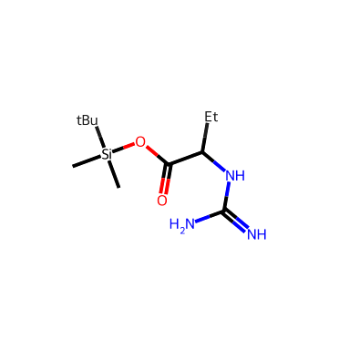 CCC(NC(=N)N)C(=O)O[Si](C)(C)C(C)(C)C